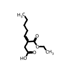 CCCCC=C(CC(=O)O)C(=O)OCC